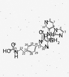 Cc1nccn1-c1ccncc1NC(=O)c1nc(-c2ccc(CCNC(=O)O)cc2)cnc1N